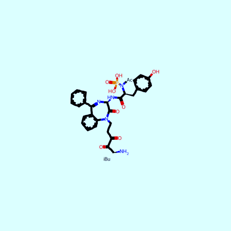 CC[C@H](C)[C@H](N)C(=O)C(=O)CCN1C(=O)[C@H](NC(=O)[C@H](Cc2ccc(O)cc2)N(C(C)=O)P(=O)(O)O)N=C(c2ccccc2)c2ccccc21